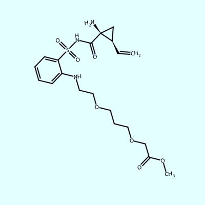 C=C[C@@H]1C[C@@]1(N)C(=O)NS(=O)(=O)c1ccccc1NCCOCCCOCC(=O)OC